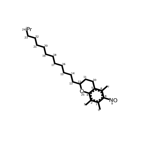 Cc1c(C)c2c(c(C)c1N=O)CCC(CCCCCCCCCCCC(C)C)O2